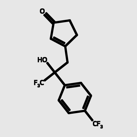 O=C1C=C(CC(O)(c2ccc(C(F)(F)F)cc2)C(F)(F)F)CC1